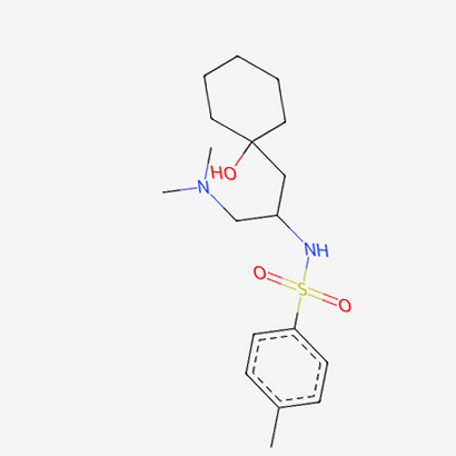 Cc1ccc(S(=O)(=O)NC(CN(C)C)CC2(O)CCCCC2)cc1